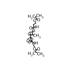 C=C(C)C(=O)OCCNC(=O)OC1COC([C@H](CC)OC(=O)NCCOC(=O)C(=C)C)[C@@H]1C